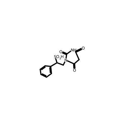 O=C1CC(=O)N(CC(c2ccccc2)S(=O)(=O)O)C(=O)N1